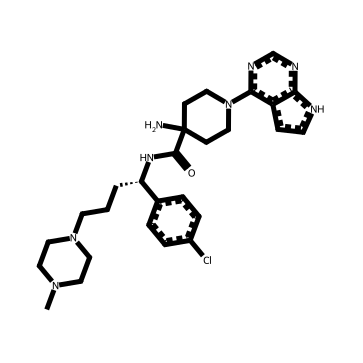 CN1CCN(CCC[C@H](NC(=O)C2(N)CCN(c3ncnc4[nH]ccc34)CC2)c2ccc(Cl)cc2)CC1